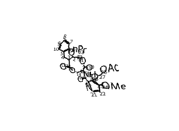 CCCOC1C(Cc2ccccc2)C(=O)OC[C@H](NC(=O)c2nccc(OC)c2OCOC(C)=O)C(=O)O[C@H]1C